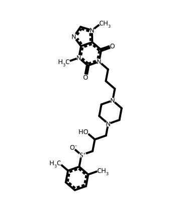 Cc1cccc(C)c1[S+]([O-])CC(O)CN1CCN(CCCn2c(=O)c3c(ncn3C)n(C)c2=O)CC1